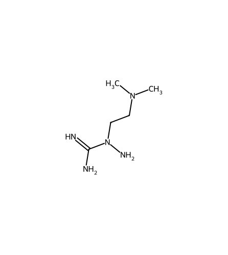 CN(C)CCN(N)C(=N)N